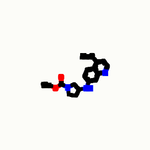 COc1ccnc2cc(NC3CCN(C(=O)OC(C)(C)C)C3)ccc12